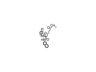 CCC(=O)CCCCC[C@H](NC(=O)c1ncc[nH]1)C(=O)Nc1ccc2ccccc2c1